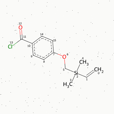 C=C[Si](C)(C)COc1ccc(C(=O)Cl)cc1